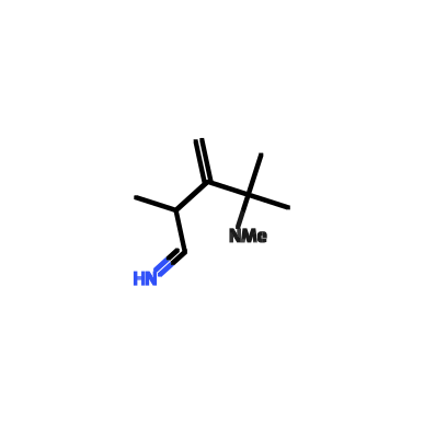 C=C(C(C)C=N)C(C)(C)NC